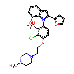 Cc1c(-n2c(-c3ccco3)cc3cccc(O)c32)ccc(OCCN2CCN(C)CC2)c1Cl